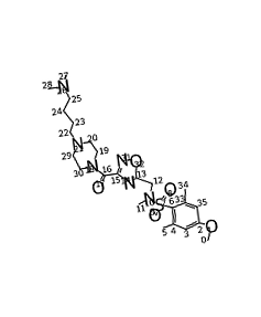 COc1cc(C)c(S(=O)(=O)N(C)Cc2nc(C(=O)N3CCN(CCCCN(C)C)CC3)no2)c(C)c1